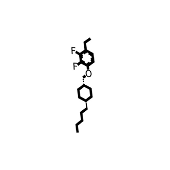 CCCCC[C@H]1CC[C@H](COc2ccc(CC)c(F)c2F)CC1